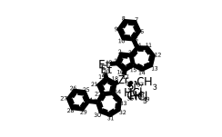 CCc1cc2c(-c3ccccc3)ccccc-2[c]1[Zr]([c]1c(CC)cc2c(-c3ccccc3)ccccc1-2)=[Si](C)C.Cl.Cl